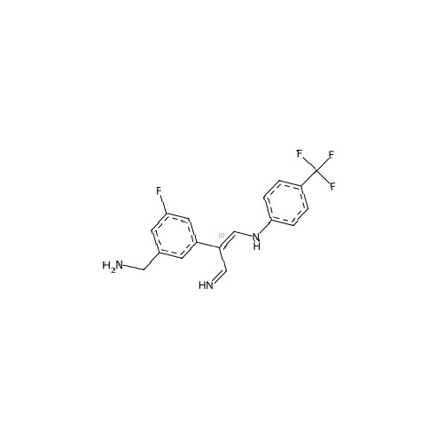 N=C/C(=C\Nc1ccc(C(F)(F)F)cc1)c1cc(F)cc(CN)c1